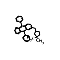 CC1(C)CCC(Cc2ccc3c(-c4ccccc4)c4ccccc4c(-c4ccccc4)c3c2)C1